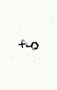 CC(C)C(C)(C)/N=C/c1ccccn1